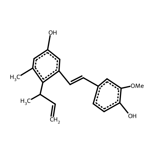 C=CC(C)c1c(C)cc(O)cc1/C=C/c1ccc(O)c(OC)c1